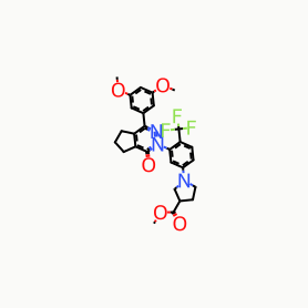 COC(=O)C1CCN(c2ccc(C(F)(F)F)c(-n3nc(-c4cc(OC)cc(OC)c4)c4c(c3=O)CCC4)c2)C1